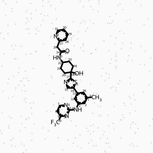 Cc1cc(Nc2nccc(C(F)(F)F)n2)cc(-c2cnc(C3(O)CCC(NC(=O)Cc4ccccn4)CC3)s2)c1